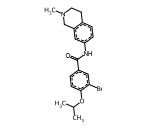 CC(C)Oc1ccc(C(=O)Nc2ccc3c(c2)CN(C)CC3)cc1Br